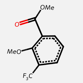 COC(=O)c1cccc(C(F)(F)F)c1OC